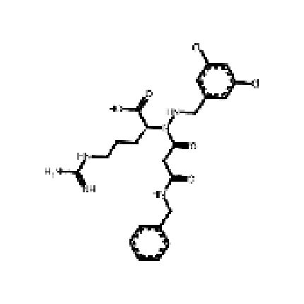 N=C(N)NCCC[C@@H](C(=O)O)N(NCc1cc(Cl)cc(Cl)c1)C(=O)CC(=O)NCc1ccccc1